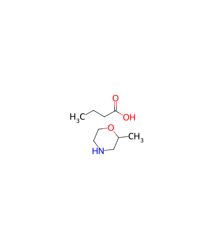 CC1CNCCO1.CCCC(=O)O